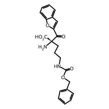 N[C@](CCCNC(=O)OCc1ccccc1)(C(=O)O)C(=O)c1cc2ccccc2o1